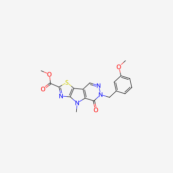 COC(=O)c1nc2c(s1)c1cnn(Cc3cccc(OC)c3)c(=O)c1n2C